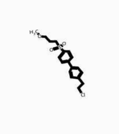 COCCCS(=O)(=O)c1ccc(-c2ccc(CCCl)cc2)cc1